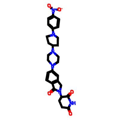 O=C1CCC(N2Cc3cc(N4CCN(C5CCN(c6ccc([N+](=O)[O-])cc6)CC5)CC4)ccc3C2=O)C(=O)N1